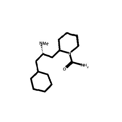 CN[C@@H](CC1CCCCC1)CC1CCCCN1C(N)=O